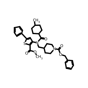 COC(=O)c1sc(-c2ccccc2)cc1N(CC1CCN(C(=O)OCc2ccccc2)CC1)C(=O)C1CCC(C)CC1